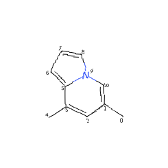 Cc1cc(C)c2cccn2c1